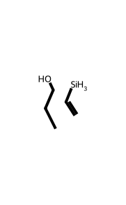 C=C[SiH3].CCCO